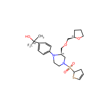 C[C@@](O)(c1ccc(N2CCN(S(=O)(=O)C3CC=CS3)C[C@@H]2COC[C@H]2CCCO2)cc1)C(F)(F)F